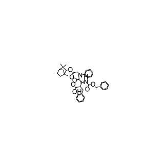 CC12CCC(C1)C(C)(C)C2OC(=O)CN(C(=O)[C@@H](NC(=O)OCc1ccccc1)C(Cc1ccccc1)C(=O)O)c1ccccc1